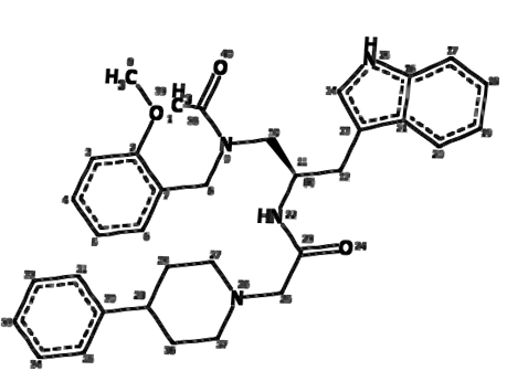 COc1ccccc1CN(C[C@@H](Cc1c[nH]c2ccccc12)NC(=O)CN1CCC(c2ccccc2)CC1)C(C)=O